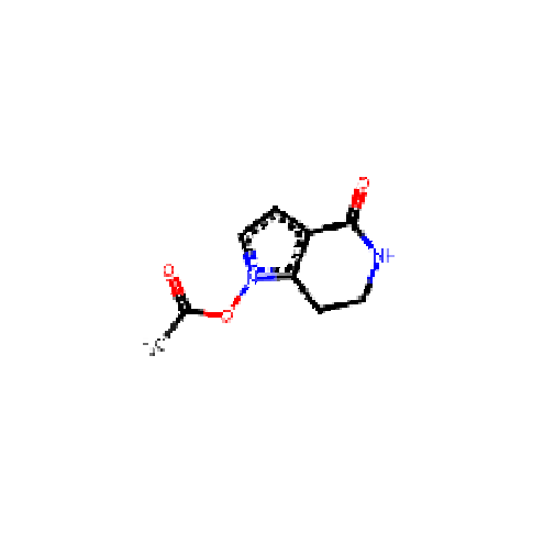 O=C1NCCc2c1ccn2OC(=O)C(F)(F)F